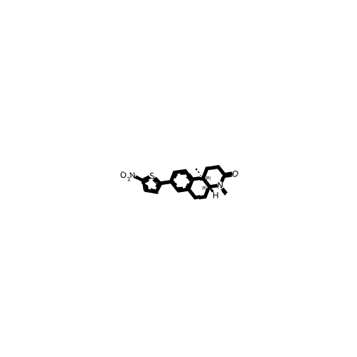 CN1C(=O)CC[C@]2(C)c3ccc(-c4ccc([N+](=O)[O-])s4)cc3CC[C@@H]12